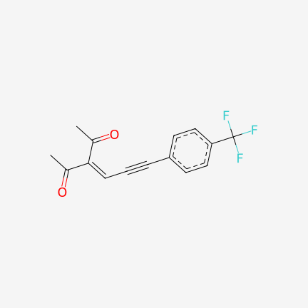 CC(=O)C(=CC#Cc1ccc(C(F)(F)F)cc1)C(C)=O